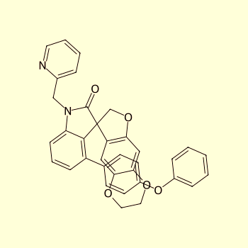 O=C1N(Cc2ccccn2)c2cccc(-c3ccc(Oc4ccccc4)cc3)c2C12COc1cc3c(cc12)OCCO3